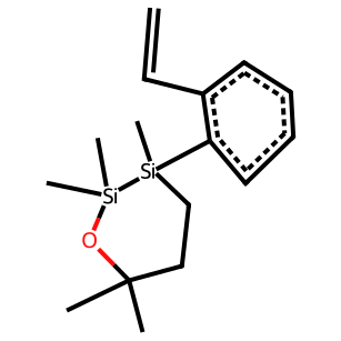 C=Cc1ccccc1[Si]1(C)CCC(C)(C)O[Si]1(C)C